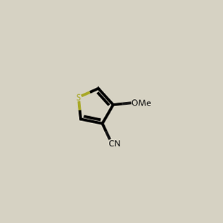 COc1[c]scc1C#N